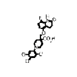 O=C1CCc2c(OCC3(C(=O)O)CCN(c4cc(Cl)c(Cl)cc4Cl)CC3)ccc(F)c2N1